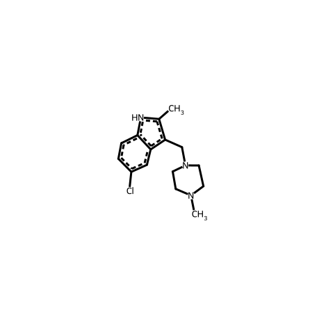 Cc1[nH]c2ccc(Cl)cc2c1CN1CCN(C)CC1